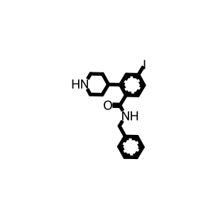 O=C(NCc1ccccc1)c1ccc(I)cc1C1CCNCC1